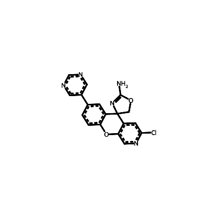 NC1=NC2(CO1)c1cc(-c3cncnc3)ccc1Oc1cnc(Cl)cc12